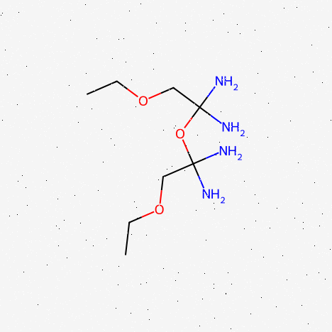 CCOCC(N)(N)OC(N)(N)COCC